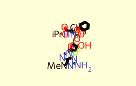 CNc1nc(N)nc2c1ncn2[C@@H]1O[C@H](CO[P@@](=O)(N[C@@H](C)C(=O)OC(C)C)Oc2ccccc2)[C@@H](O)C1(F)F